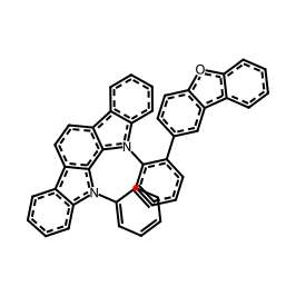 c1ccc(-c2ccc3oc4ccccc4c3c2)c(-n2c3ccccc3c3ccc4c5ccccc5n(C5=CC=CCC5)c4c32)c#1